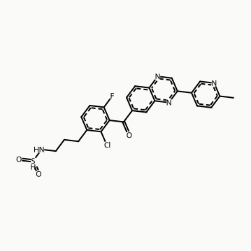 Cc1ccc(-c2cnc3ccc(C(=O)c4c(F)ccc(CCCN[SH](=O)=O)c4Cl)cc3n2)cn1